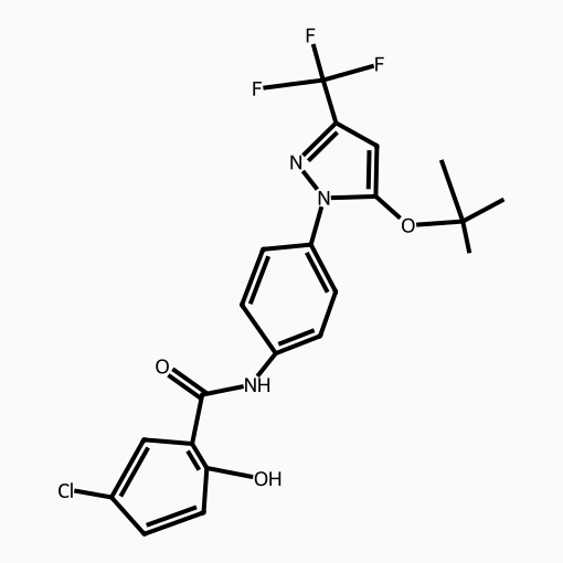 CC(C)(C)Oc1cc(C(F)(F)F)nn1-c1ccc(NC(=O)c2cc(Cl)ccc2O)cc1